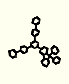 c1ccc(-c2ccc(-c3nc(-c4ccc(-c5ccccn5)cc4)nc(-c4ccc5c(c4)-c4ccccc4C5(c4ccccc4)c4ccccc4)n3)cc2)cc1